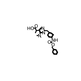 CC(C(=O)O)c1cnc(Cc2ccc(NC(=O)OCc3ccccc3)cc2)nc1N(C)C